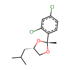 CC(C)C[C@H]1CO[C@@](C)(c2ccc(Cl)cc2Cl)O1